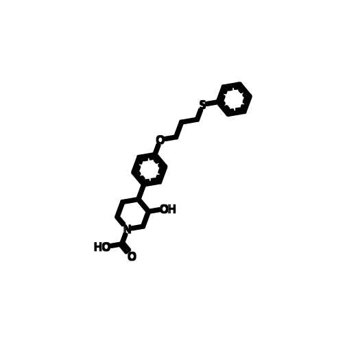 O=C(O)N1CCC(c2ccc(OCCCSc3ccccc3)cc2)C(O)C1